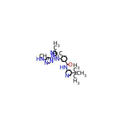 CNc1cc(-n2nc(C)cc2Nc2cc(C(=O)Nc3cncc(C(C)(C)C)c3)ccc2C)ncn1